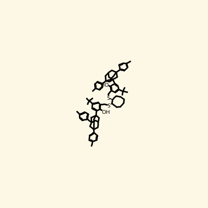 Cc1ccc(C23CC4CC(c5ccc(C)cc5)(C2)CC(c2cc(C(C)(C)C)cc(CS[C@H]5CCCCCC[C@@H]5SCc5cc(C(C)(C)C)cc(C67CC8CC(c9ccc(C)cc9)(CC(c9ccc(C)cc9)(C8)C6)C7)c5O)c2O)(C4)C3)cc1